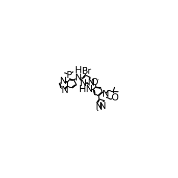 COc1cc(N2CCOC(C)(C)C2)c(-c2cnn(C)c2)cc1Nc1ncc(Br)c(Nc2ccc3nccnc3c2P(C)C)n1